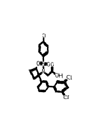 O=C(O)CN(C1(c2cccc(-c3cc(Cl)cc(Cl)c3)c2)CCC1)S(=O)(=O)c1ccc(Cl)cc1